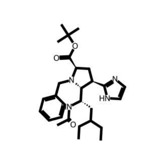 CCC(CC)C[C@H](NC(C)=O)[C@H]1[C@H](c2ncc[nH]2)C[C@H](C(=O)OC(C)(C)C)N1Cc1ccccc1